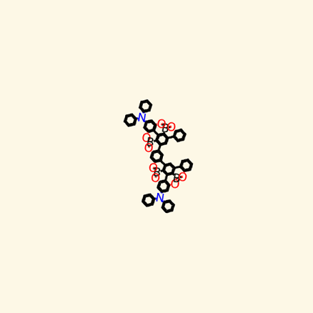 c1ccc(N(c2ccccc2)c2cc3c4c(c2)OB2Oc5cc6c(cc5-c5cc7c(c-4c52)B(Oc2ccccc2-7)O3)-c2cc3c4c5c2B(O6)Oc2cc(N(c6ccccc6)c6ccccc6)cc(c2-5)OB4Oc2ccccc2-3)cc1